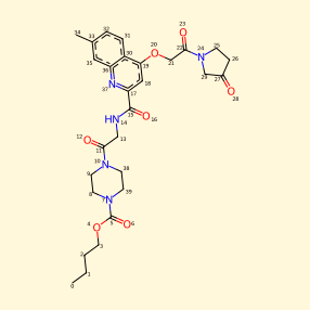 CCCCOC(=O)N1CCN(C(=O)CNC(=O)c2cc(OCC(=O)N3CCC(=O)C3)c3ccc(C)cc3n2)CC1